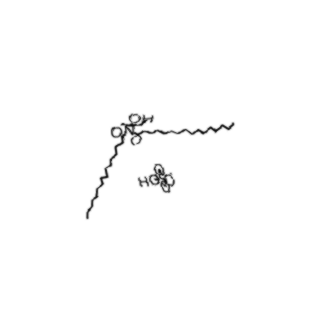 CCCCCCCCCCCCCCCC(=O)N(C(=O)CCCCCCCCCCCCCCC)C(C)(O)CC.COS(=O)(=O)O